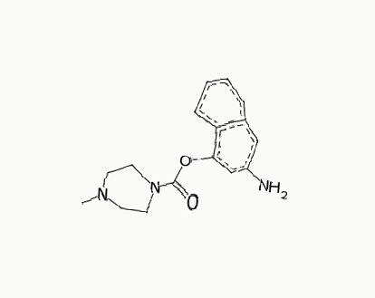 CN1CCN(C(=O)Oc2cc(N)cc3ccccc23)CC1